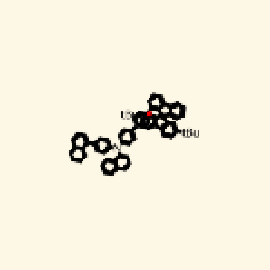 CC(C)(C)c1ccc2c(c1)C1(c3cc(C(C)(C)C)ccc3-2)c2ccccc2-c2cccc(-c3ccc(-c4ccc(N(c5ccc(-c6cccc7ccccc67)cc5)c5cccc6ccccc56)cc4)cc3)c21